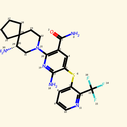 NC(=O)c1cc(Sc2cccnc2C(F)(F)F)c(N)nc1N1CCC2(CCCC2)[C@@H](N)C1